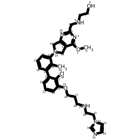 COc1nc(CNCCO)nc2c1CN(c1cccc(-c3cccc(OCCCNCCn4ccnc4)c3Cl)c1C)C2